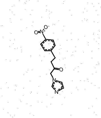 O=C(CCc1ccc([N+](=O)[O-])cc1)Cn1ccnc1